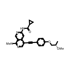 CNc1ncc(C#Cc2ccc(OC[C@H](C)OC)cc2)c2cc(NC(=O)C3CC3)ncc12